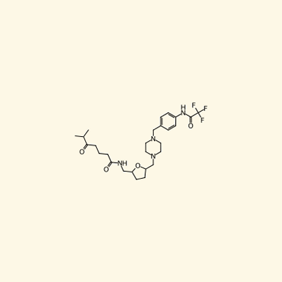 CC(C)C(=O)CCCC(=O)NCC1CCC(CN2CCN(Cc3ccc(NC(=O)C(F)(F)F)cc3)CC2)O1